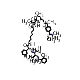 CCC[C@@H](CN[C@@H](C)c1ccc(/C(SC)=C(\C)N)cc1)NC(=O)[C@@H](NC(=O)CCCCCCNC(=O)C(N/C=C(\C=N)C(/C=C(\N)c1ccccc1C)=C(N)N)c1ccccc1)C(C)(C)C